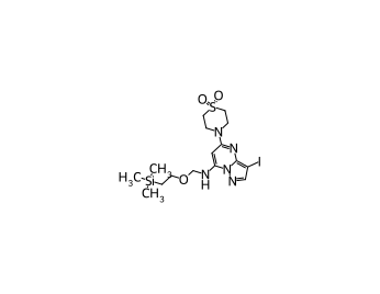 C[Si](C)(C)CCOCNc1cc(N2CCS(=O)(=O)CC2)nc2c(I)cnn12